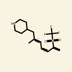 C=C(/C=C\C=C(/C)CC1CCNCC1)S(=O)(=O)C(F)(F)F